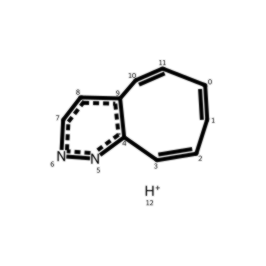 C1=C\C=C/c2nnccc2\C=C/1.[H+]